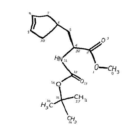 COC(=O)[C@H](CC1CC=CC1)NC(=O)OC(C)(C)C